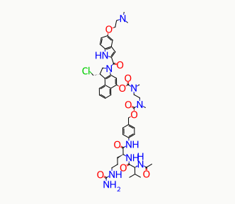 CC(=O)N[C@H](C(=O)N[C@@H](CCCNC(N)=O)C(=O)Nc1ccc(COC(=O)N(C)CCN(C)C(=O)Oc2cc3c(c4ccccc24)[C@H](CCl)CN3C(=O)c2cc3cc(OCCN(C)C)ccc3[nH]2)cc1)C(C)C